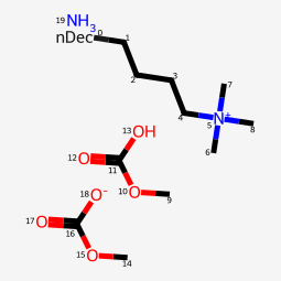 CCCCCCCCCCCCCC[N+](C)(C)C.COC(=O)O.COC(=O)[O-].N